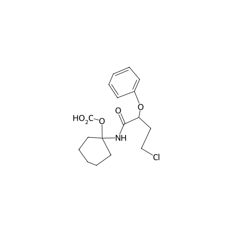 O=C(O)OC1(NC(=O)C(CCCl)Oc2ccccc2)CCCCC1